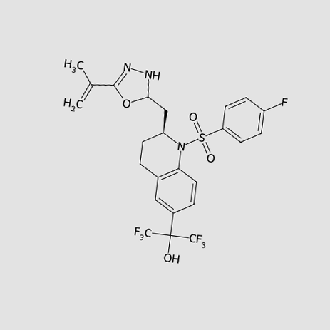 C=C(C)C1=NNC(C[C@@H]2CCc3cc(C(O)(C(F)(F)F)C(F)(F)F)ccc3N2S(=O)(=O)c2ccc(F)cc2)O1